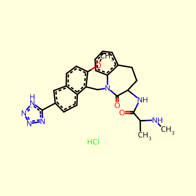 CNC(C)C(=O)NC1CCc2ccccc2N(Cc2c(OC)ccc3cc(-c4nnn[nH]4)ccc23)C1=O.Cl